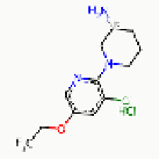 Cl.N[C@@H]1CCCN(c2ncc(OCC(F)(F)F)cc2Cl)C1